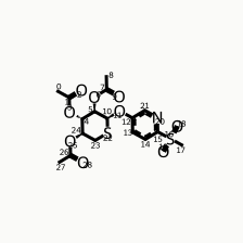 CC(=O)O[C@@H]1[C@@H](OC(C)=O)[C@@H](Oc2ccc(S(C)(=O)=O)nc2)SC[C@H]1OC(C)=O